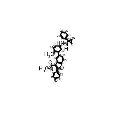 CNC(=O)c1c(-c2ccc(F)cc2)oc2ccc(-c3cc(NNC4(c5ccccc5)CC4)ccc3C)cc12